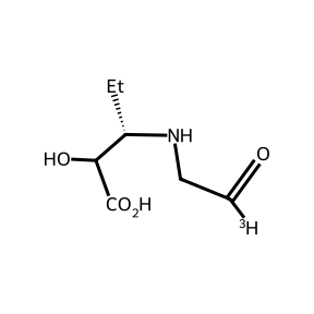 [3H]C(=O)CN[C@@H](CC)C(O)C(=O)O